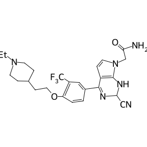 CCN1CCC(CCOc2ccc(C3=NC(C#N)Nc4c3ccn4CC(N)=O)cc2C(F)(F)F)CC1